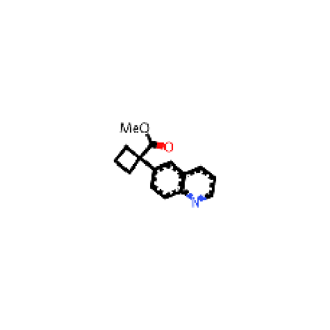 COC(=O)C1(c2ccc3ncccc3c2)CCC1